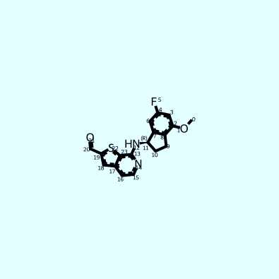 COc1cc(F)cc2c1CC[C@H]2Nc1nccc2cc(C=O)sc12